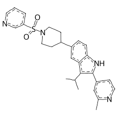 Cc1cc(-c2[nH]c3ccc(C4CCN(S(=O)(=O)c5cccnc5)CC4)cc3c2C(C)C)ccn1